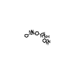 Cn1ncc2c(Nc3nc(-c4ccc(-n5cc(-c6ccccc6)nn5)cc4)cs3)cccc21